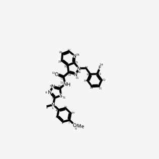 COc1ccc(N(C)c2nnc(NC(=O)c3nn(Cc4ccccc4F)c4ncccc34)s2)cc1